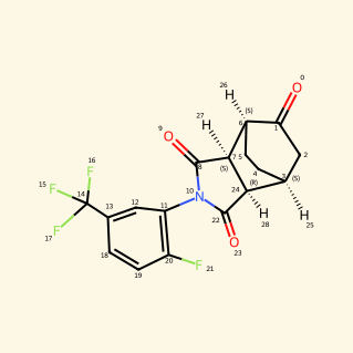 O=C1C[C@@H]2CC[C@H]1[C@@H]1C(=O)N(c3cc(C(F)(F)F)ccc3F)C(=O)[C@H]21